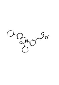 COC(=O)/C=C/c1cccc(N(Cc2ccc(C3CCCCC3)cc2)C(=O)C2CCCCC2)c1